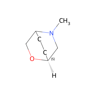 CN1C[C@@H]2CCC1CO2